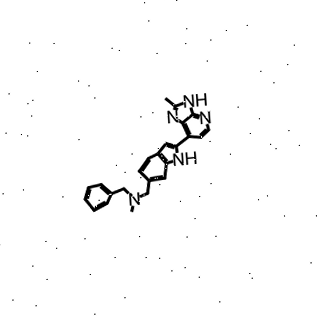 Cc1nc2c(-c3cc4ccc(CN(C)Cc5ccccc5)cc4[nH]3)ccnc2[nH]1